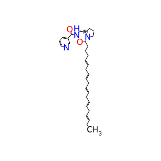 CCC=CCC=CCC=CCC=CCC=CCCCC(=O)N1CCC[C@@H]1CNC(=O)c1cccnc1